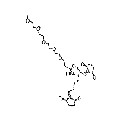 COCCOCCOCCOCCOCCC(=O)NC(CCCCN1C(=O)C=CC1=O)C(=O)ON1C(=O)CCC1=O